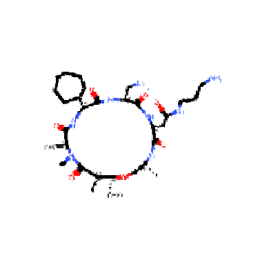 CCCCCC[C@H]1OC[C@@H](C)NC(=O)[C@H](CC(=O)NCCCN)NC(=O)[C@H](CN)NC(=O)[C@H](C2CCCCCC2)NC(=O)[C@H](CCC)N(C)C(=O)[C@@H]1C